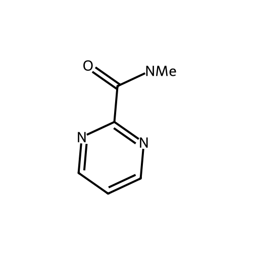 CNC(=O)c1ncccn1